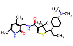 CCC(C1SC=C(C(=O)NCc2c(C)cc(C)[nH]c2=O)C1(C)C)[C@H]1CC[C@@H](N(C)C)CC1